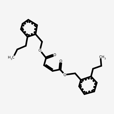 CCCc1ccccc1COC(=O)/C=C\C(=O)OCc1ccccc1CCC